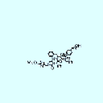 COCc1nc(CN2CCN([C@H](C(=O)N[C@@H](Cc3ccccc3)[C@H](O)CN(CC(C)C)S(=O)(=O)c3ccc(C=NO)cc3)C(C)C)C2=O)cs1